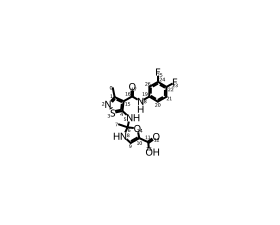 Cc1nsc(NC2(C)NC=C(C(=O)O)O2)c1C(=O)Nc1ccc(F)c(F)c1